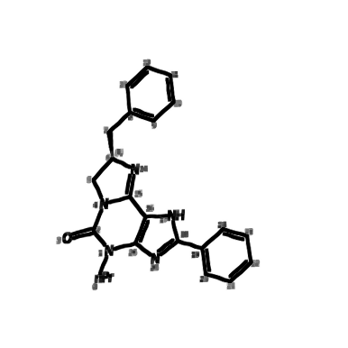 CCCN1C(=O)N2C[C@@H](Cc3ccccc3)N=C2c2[nH]c(-c3ccccc3)nc21